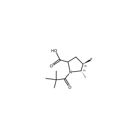 C[C@H]1[C@H](F)CC(C(=O)O)N1C(=O)C(C)(C)C